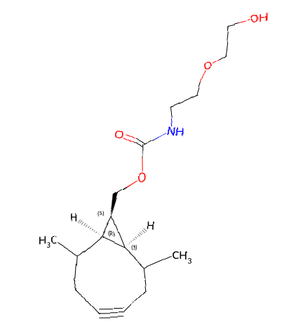 CC1CC#CCC(C)[C@H]2[C@@H](COC(=O)NCCOCCO)[C@@H]12